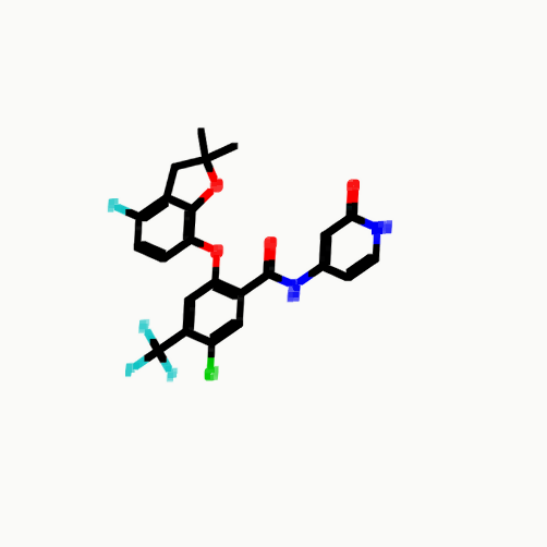 CC1(C)Cc2c(F)ccc(Oc3cc(C(F)(F)F)c(Cl)cc3C(=O)Nc3cc[nH]c(=O)c3)c2O1